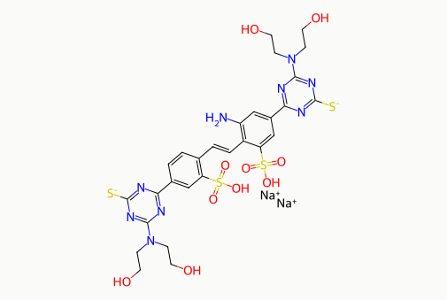 Nc1cc(-c2nc([S-])nc(N(CCO)CCO)n2)cc(S(=O)(=O)O)c1C=Cc1ccc(-c2nc([S-])nc(N(CCO)CCO)n2)cc1S(=O)(=O)O.[Na+].[Na+]